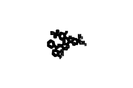 CCS(=O)(=O)c1ccc(-c2nn3c(c2C(=O)N[C@H]2N=C(c4ccccc4)c4cccc(F)c4NC2=O)OCC(C)(C)C3)c(F)c1